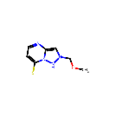 COCN1C=C2N=CC=C([S])N2N1